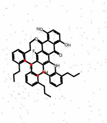 CCCc1cccc(CCC)c1Nc1c(F)c2c(c(Nc3c(CCC)cccc3CCC)c1Nc1c(CCC)cccc1CCC)C(=O)c1c(O)ccc(O)c1C2=O